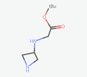 CC(C)(C)OC(=O)CNC1CNC1